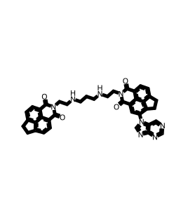 O=C1c2ccc3c4c(ccc(c24)C(=O)N1CCNCCCNCCN1C(=O)c2ccc4c5c(c(-n6cnc7ncncc76)cc(c25)C1=O)CC4)CC3